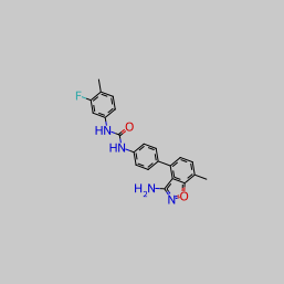 Cc1ccc(NC(=O)Nc2ccc(-c3ccc(C)c4onc(N)c34)cc2)cc1F